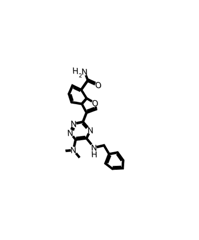 CN(C)c1nnc(C2=COC3C(C(N)=O)=CC=CC23)nc1NCc1ccccc1